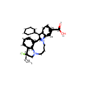 C[C@]1(F)CN2CCCn3c(c(C4CCCCC4)c4ccc(C(=O)O)cc43)-c3cccc1c32